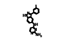 Cc1cccc(-c2n[nH]c3ccc(Nc4ccnc(N)n4)cc23)c1